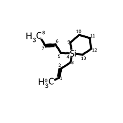 CC=CC[Si]1(CC=CC)CCCCC1